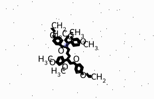 C=CCOc1ccc(C(=O)C=C(CCC/C(C(=O)c2ccc(OCC=C)cc2)=C(/CCC)c2ccc(OC)cc2OC)c2ccc(OC)cc2OC)cc1